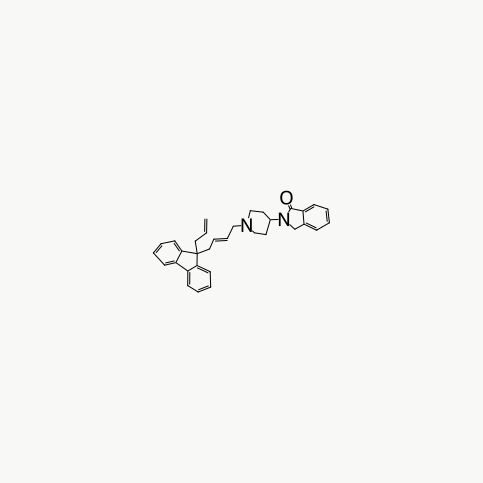 C=CCC1(CC=CCN2CCC(N3Cc4ccccc4C3=O)CC2)c2ccccc2-c2ccccc21